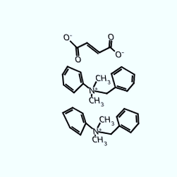 C[N+](C)(Cc1ccccc1)c1ccccc1.C[N+](C)(Cc1ccccc1)c1ccccc1.O=C([O-])/C=C/C(=O)[O-]